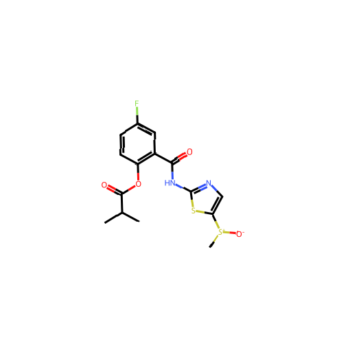 CC(C)C(=O)Oc1ccc(F)cc1C(=O)Nc1ncc([S+](C)[O-])s1